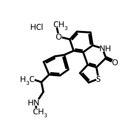 CNCC(C)c1ccc(-c2c(OC)ccc3[nH]c(=O)c4sccc4c23)cc1.Cl